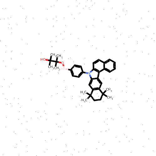 CC1(C)CCC(C)(C)c2cc3c(cc21)c1c2ccccc2ccc1n3-c1ccc(BOC(C)(C)C(C)(C)O)cc1